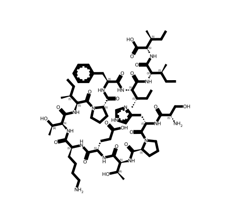 CC[C@H](C)[C@H](NC(=O)[C@@H](NC(=O)[C@@H](NC(=O)[C@H](Cc1ccccc1)NC(=O)[C@@H]1CCCN1C(=O)[C@@H](NC(=O)[C@@H](NC(=O)[C@H](CCCCN)NC(=O)[C@H](CCC(=O)O)NC(=O)[C@@H](NC(=O)[C@@H]1CCCN1C(=O)[C@H](Cc1c[nH]cn1)NC(=O)[C@@H](N)CO)[C@@H](C)O)[C@@H](C)O)[C@@H](C)CC)[C@@H](C)CC)[C@@H](C)CC)C(=O)O